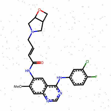 COc1cc2ncnc(Nc3ccc(F)c(Cl)c3)c2cc1NC(=O)/C=C/CN1CC2COC2C1